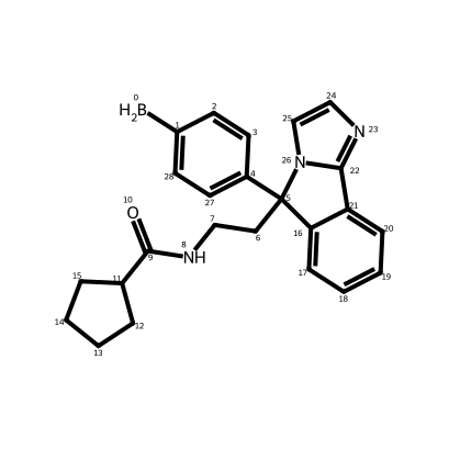 Bc1ccc(C2(CCNC(=O)C3CCCC3)c3ccccc3-c3nccn32)cc1